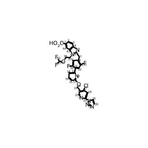 O=C(O)c1ccc2nc(Cc3cc(F)c(-c4cccc(OCc5cnc(-n6ccnn6)cc5Cl)n4)cc3F)n(CCOC(F)F)c2c1